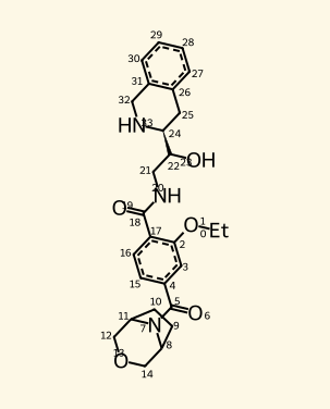 CCOc1cc(C(=O)N2C3CCC2COC3)ccc1C(=O)NCC(O)[C@@H]1Cc2ccccc2CN1